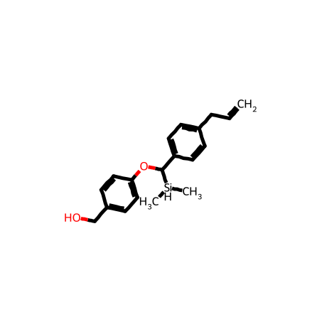 C=CCc1ccc(C(Oc2ccc(CO)cc2)[SiH](C)C)cc1